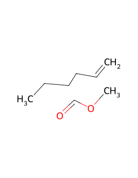 C=CCCCC.COC=O